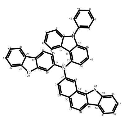 c1ccc(-n2c3ccccc3c3c(N(c4ccc5c(c4)oc4ccccc45)c4ccc5ccc6c7ccccc7sc6c5c4)cccc32)cc1